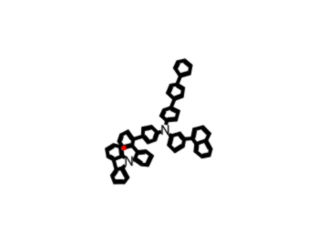 c1ccc(-c2ccc(-c3ccc(N(c4ccc(-c5ccccc5-c5ccccc5-n5c6ccccc6c6ccccc65)cc4)c4cccc(-c5cccc6ccccc56)c4)cc3)cc2)cc1